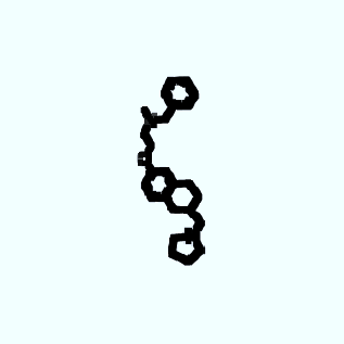 CN(CCOc1ccc2c(c1)CCC(CN1CCCC1)C2)Cc1ccccc1